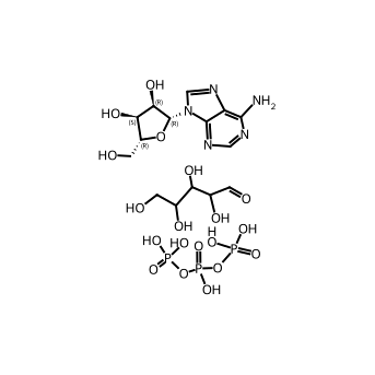 Nc1ncnc2c1ncn2[C@@H]1O[C@H](CO)[C@@H](O)[C@H]1O.O=CC(O)C(O)C(O)CO.O=P(O)(O)OP(=O)(O)OP(=O)(O)O